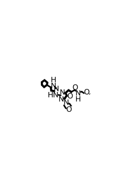 COCCNC(=O)c1cc2nc(Nc3cc(-c4ccccc4)[nH]n3)nc(N3CCOCC3)c2o1